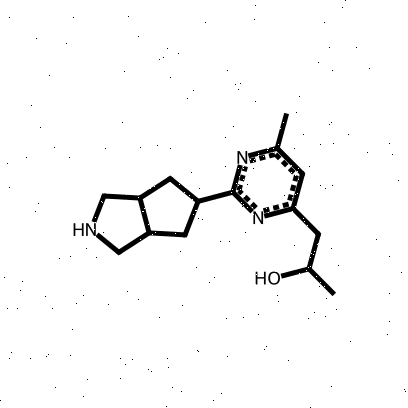 Cc1cc(CC(C)O)nc(C2CC3CNCC3C2)n1